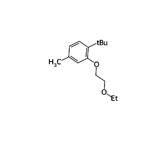 CCOCCOc1cc(C)ccc1C(C)(C)C